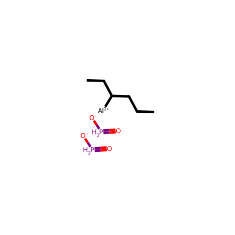 CCC[CH]([Al+2])CC.O=[PH2][O-].O=[PH2][O-]